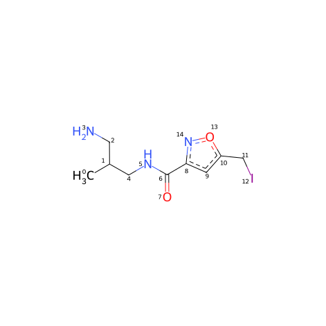 CC(CN)CNC(=O)c1cc(CI)on1